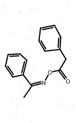 C/C(=N/OC(=O)Cc1ccccc1)c1ccccc1